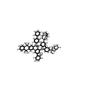 CCC1(c2ccc3c(c2)c2cc(C45CC6CC(CC(C6)C4)C5)cc4c2n3-c2c3c(cc5c2oc2ccccc25)-c2cc5c(cc2N(c2ccc(-c6ccccc6)cc2)B34)C(C)(C)c2ccccc2C5(C)C)CC2CCC(C2)C1